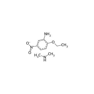 CCOc1ccc([N+](=O)[O-])cc1N.CNC